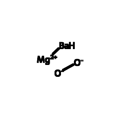 [Mg+2][BaH].[O-][O-]